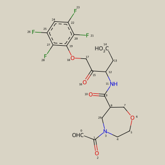 O=CC(=O)N1CCOCC(C(=O)NC(CC(=O)O)C(=O)COc2c(F)c(F)cc(F)c2F)C1